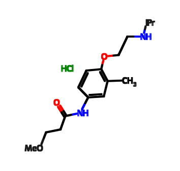 COCCC(=O)Nc1ccc(OCCNC(C)C)c(C)c1.Cl